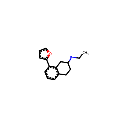 CCNC1CCc2cccc(-c3ccco3)c2C1